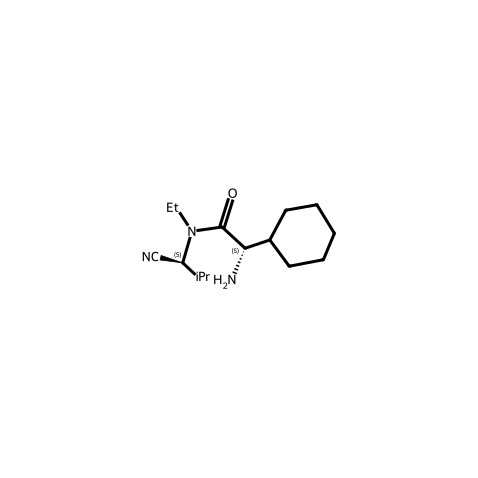 CCN(C(=O)[C@@H](N)C1CCCCC1)[C@H](C#N)C(C)C